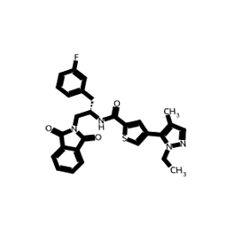 CCn1ncc(C)c1-c1csc(C(=O)N[C@@H](Cc2cccc(F)c2)CN2C(=O)c3ccccc3C2=O)c1